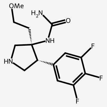 COCC[C@@]1(NC(N)=O)CNC[C@H]1c1cc(F)c(F)c(F)c1